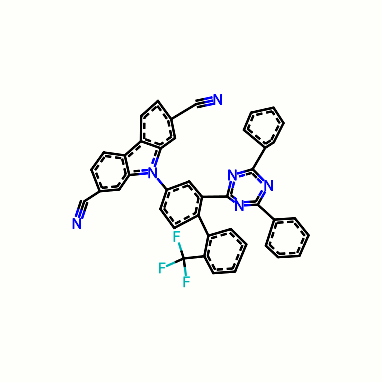 N#Cc1ccc2c3ccc(C#N)cc3n(-c3ccc(-c4ccccc4C(F)(F)F)c(-c4nc(-c5ccccc5)nc(-c5ccccc5)n4)c3)c2c1